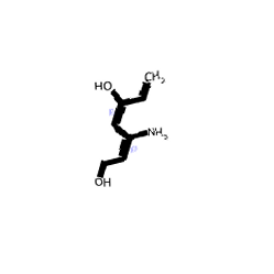 C=C/C(O)=C\C(N)=C/CO